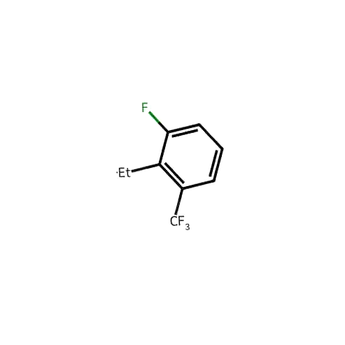 C[CH]c1c(F)cccc1C(F)(F)F